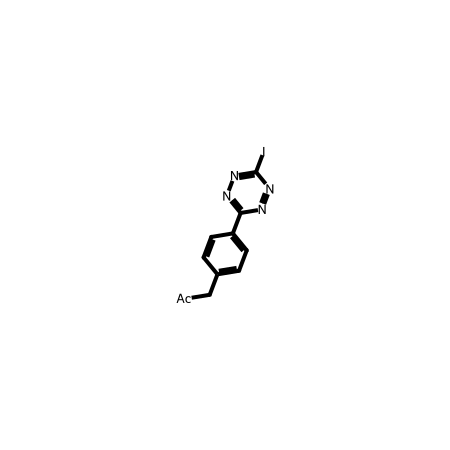 CC(=O)Cc1ccc(-c2nnc(I)nn2)cc1